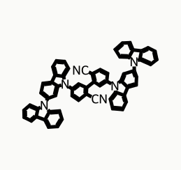 N#Cc1ccc(-n2c3ccccc3c3ccc(-n4c5ccccc5c5ccccc54)cc32)cc1-c1cc(-n2c3ccccc3c3ccc(-n4c5ccccc5c5ccccc54)cc32)ccc1C#N